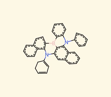 C1=CCCC(N2c3cc4ccccc4c4c3B(c3ccccc3N4c3ccccc3)c3ccc4ccccc4c32)=C1